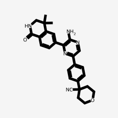 CC1(C)CNC(=O)c2ccc(-c3nc(-c4ccc(C5(C#N)CCOCC5)cc4)cnc3N)cc21